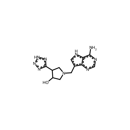 Nc1ncnc2c(CN3CC(O)C(c4nn[nH]n4)C3)c[nH]c12